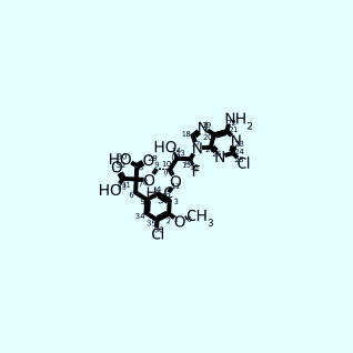 COc1ccc(CC(OC[C@@H](OC)[C@@H](O)[C@H](F)n2cnc3c(N)nc(Cl)nc32)(C(=O)O)C(=O)O)cc1Cl